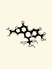 CC(C)(C)C1Cc2c(cc(Cl)c3c2CC(C(F)F)O3)-c2cc(=O)c(C(=O)O)cn21